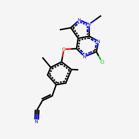 Cc1cc(/C=C/C#N)cc(C)c1Oc1nc(Cl)nc2c1c(C)nn2C